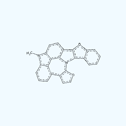 Cn1c2cccc3c4ccoc4n4c5c6ccccc6oc5c5ccc1c(c32)c54